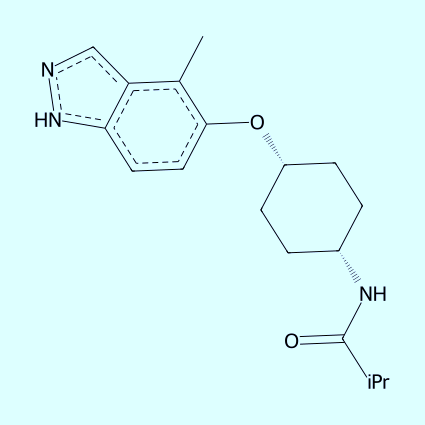 Cc1c(O[C@H]2CC[C@@H](NC(=O)C(C)C)CC2)ccc2[nH]ncc12